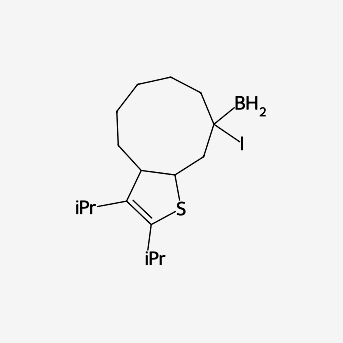 BC1(I)CCCCCC2C(C(C)C)=C(C(C)C)SC2C1